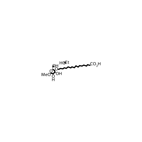 CCO.COC1O[C@H](CO)[C@@H](OCCCCCCCCCCCCCCCCCC(=O)O)[C@H](O)[C@H]1O